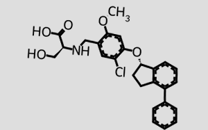 COc1cc(O[C@H]2CCc3c(-c4ccccc4)cccc32)c(Cl)cc1CN[C@@H](CO)C(=O)O